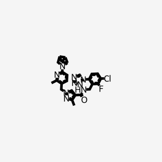 Cc1nc(N2CC3C4C3C42)ccc1Cn1cc(C(=O)NCc2c(-n3cnnn3)ccc(Cl)c2F)c(C)n1